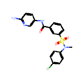 CN(c1ccc(Cl)cc1)S(=O)(=O)c1cccc(C(=O)Nc2ccc(N)nc2)c1